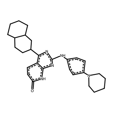 O=c1ccc2c(C3CCC4CCCCC4C3)nc(Nc3ccc(N4CCCCC4)cc3)nc2[nH]1